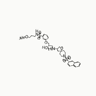 COCCCNS(=O)(=O)c1cccc(OCC(O)CNC2COC3(CCN(S(=O)(=O)c4ccc5ccccc5c4)CC3)C2)c1